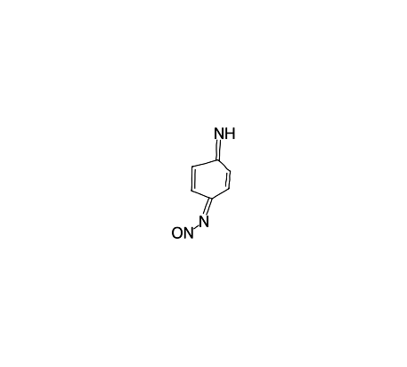 N=C1C=CC(=NN=O)C=C1